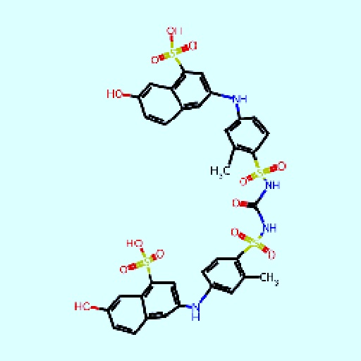 Cc1cc(Nc2cc(S(=O)(=O)O)c3cc(O)ccc3c2)ccc1S(=O)(=O)NC(=O)NS(=O)(=O)c1ccc(Nc2cc(S(=O)(=O)O)c3cc(O)ccc3c2)cc1C